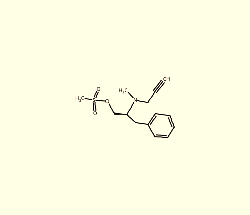 C#CCN(C)[C@H](COS(C)(=O)=O)Cc1ccccc1